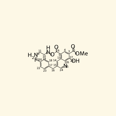 COC(=O)c1cc(C(=O)ONCCN)c2cc(Cc3ccc(F)cc3)cnc2c1O